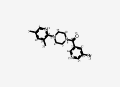 Cc1cnc(N2CCN(C(=O)c3cncc(Br)c3)CC2)c(C)c1